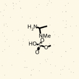 CNC(C)N.COS(=O)(=O)O